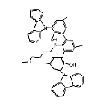 COCCCCSc1c(-c2cc(C)cc(-n3c4ccccc4c4ccccc43)c2O)cc(C)cc1-c1cc(C)cc(-n2c3ccccc3c3ccccc32)c1O